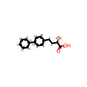 O=C(O)C(Br)CCc1ccc(-c2ccccc2)cc1